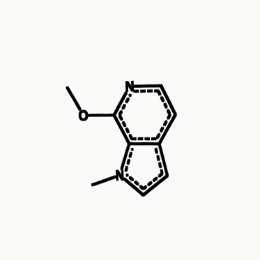 COc1nccc2ccn(C)c12